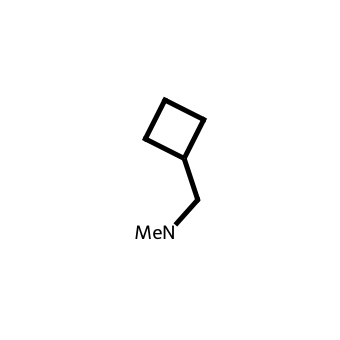 CNCC1CCC1